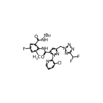 Cc1cc(F)cc(C(=O)NC(C)(C)C)c1NC(=O)c1cc(Cn2nnc(C(F)F)n2)nn1-c1ncccc1Cl